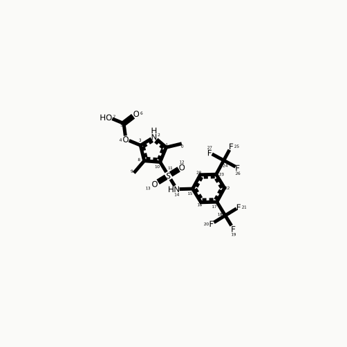 Cc1[nH]c(OC(=O)O)c(C)c1S(=O)(=O)Nc1cc(C(F)(F)F)cc(C(F)(F)F)c1